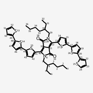 CCCCC(CC)CN1C(=O)C2=C(c3ccc(-c4ccc(-c5cccs5)s4)s3)N(CC(CC)CCCC)C(=O)C2=C1c1ccc(-c2ccc(-c3cccs3)s2)s1